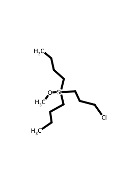 CCCC[Si](CCCC)(CCCCl)OC